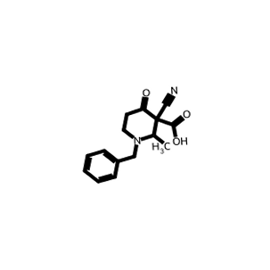 CC1N(Cc2ccccc2)CCC(=O)C1(C#N)C(=O)O